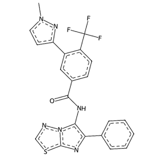 Cn1ccc(-c2cc(C(=O)Nc3c(-c4ccccc4)nc4scnn34)ccc2C(F)(F)F)n1